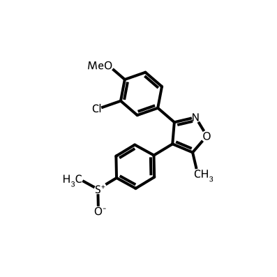 COc1ccc(-c2noc(C)c2-c2ccc([S+](C)[O-])cc2)cc1Cl